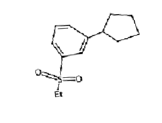 CCS(=O)(=O)c1cccc(C2CCCC2)c1